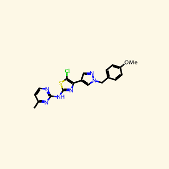 COc1ccc(Cn2cc(-c3nc(Nc4nccc(C)n4)sc3Cl)cn2)cc1